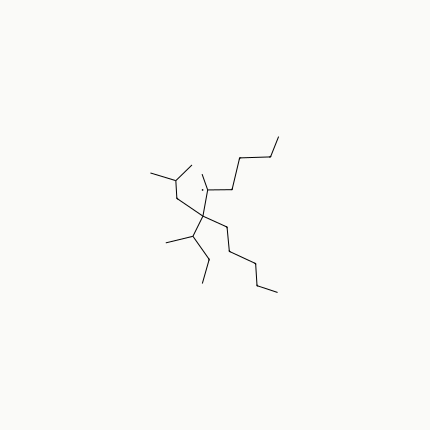 CCCCCC(CC(C)C)([C](C)CCCC)C(C)CC